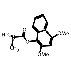 COc1cc(OC)c2ccccc2c1OC(=O)N(C)C